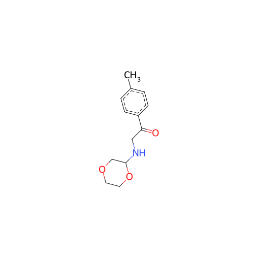 Cc1ccc(C(=O)CNC2COCCO2)cc1